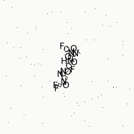 CC(C)n1cc(C(=O)Nc2ccc(Oc3ncnc4c3CCN(C(=O)C3CC(F)(F)C3)C4)c(F)c2)c(=O)n(-c2ccc(F)cc2)c1=O